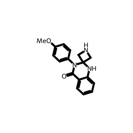 COc1ccc(N2C(=O)c3ccccc3NC23CNC3)cc1